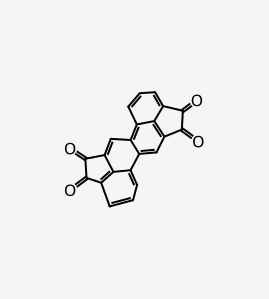 O=c1c(=O)c2cc3c(cc4c(=O)c(=O)c5cccc3c54)c3cccc1c23